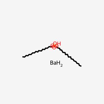 CCCCCCCCCCCCCCCCCCOP(=O)(O)OCCCCCCCCCCCCCCCCCC.[BaH2]